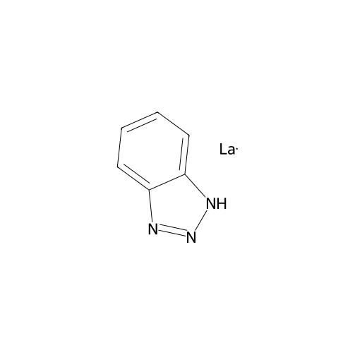 [La].c1ccc2[nH]nnc2c1